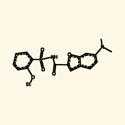 CCOc1ccccc1S(=O)(=O)NC(=O)c1cc2ccc(N(C)C)cc2o1